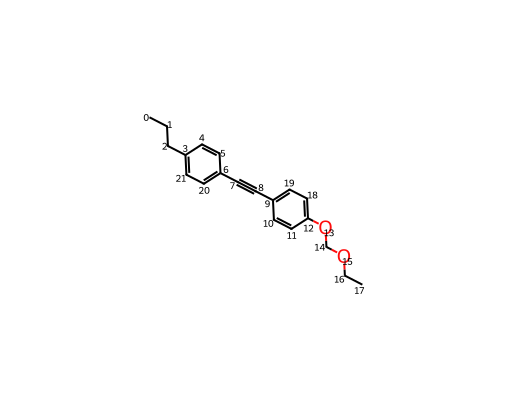 CCCc1ccc(C#Cc2ccc(OCOCC)cc2)cc1